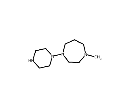 CN1CCCN(N2CCNCC2)CC1